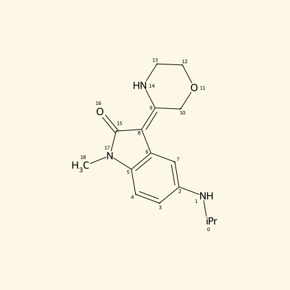 CC(C)Nc1ccc2c(c1)/C(=C1\COCCN1)C(=O)N2C